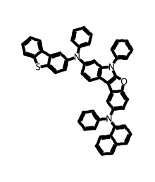 c1ccc(N(c2ccc3sc4ccccc4c3c2)c2ccc3c4c5cc(N(c6ccccc6)c6cccc7ccccc67)ccc5oc4n(-c4ccccc4)c3c2)cc1